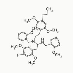 CCCc1cc(OC)c(CCN(Cc2ccccc2OC)C(Cc2cc(OC)c(I)cc2OC)NCc2ccccc2OC)cc1OC